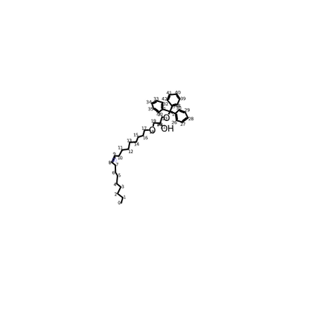 CCCCCCCC/C=C\CCCCCCCCOC[C@@H](O)COC(c1ccccc1)(c1ccccc1)c1ccccc1